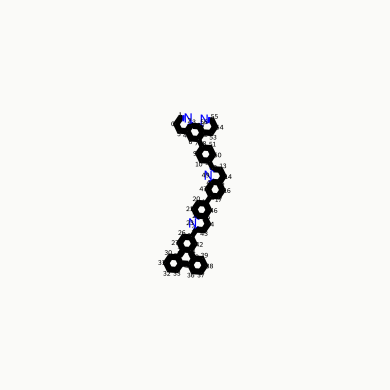 c1cnc2c(c1)cc(-c1ccc(-c3ccc4ccc(-c5ccc6nc(-c7ccc8c9ccccc9c9ccccc9c8c7)ccc6c5)cc4n3)cc1)c1cccnc12